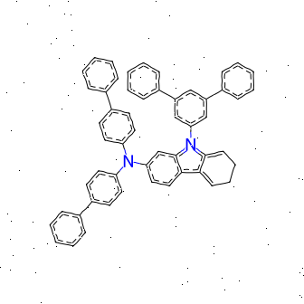 C1=c2c(n(-c3cc(-c4ccccc4)cc(-c4ccccc4)c3)c3cc(N(c4ccc(-c5ccccc5)cc4)c4ccc(-c5ccccc5)cc4)ccc23)=CCC1